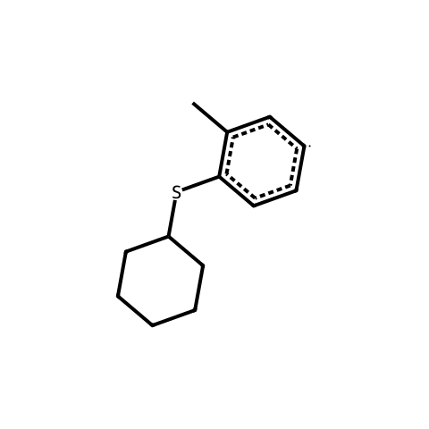 Cc1c[c]ccc1SC1CCCCC1